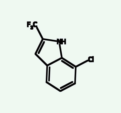 FC(F)(F)c1cc2cccc(Cl)c2[nH]1